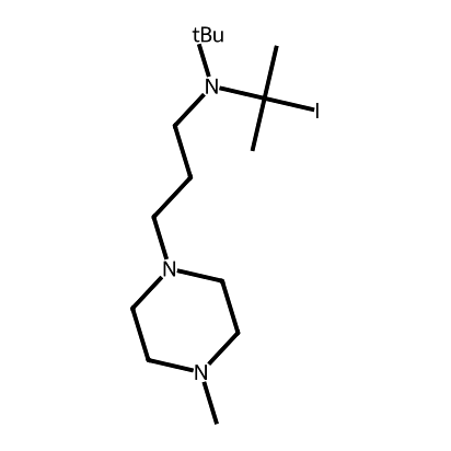 CN1CCN(CCCN(C(C)(C)C)C(C)(C)I)CC1